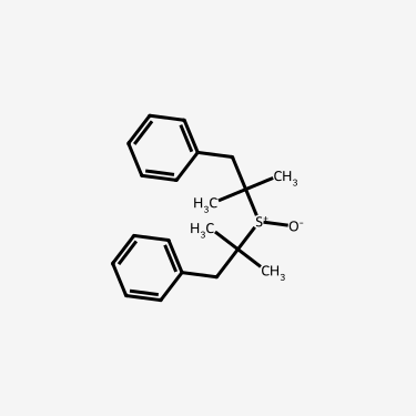 CC(C)(Cc1ccccc1)[S+]([O-])C(C)(C)Cc1ccccc1